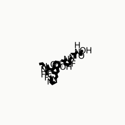 CCn1cc(-c2cc(Cn3ccnc3C)cc3c2OC[C@H](Cc2ccc(F)c(N4CC(NC(=O)O)C4)n2)[C@@H]3O)c(C(F)(F)F)n1